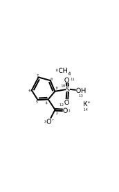 C.O=C([O-])c1ccccc1S(=O)(=O)O.[K+]